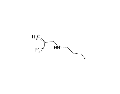 C=C(C)CNCCCF